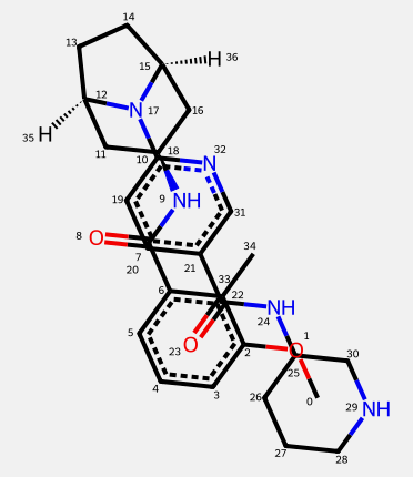 COc1cccc(C(=O)N[C@H]2C[C@H]3CC[C@@H](C2)N3c2ccc(C(=O)NC3CCCNC3)cn2)c1C